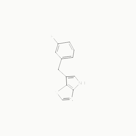 Fc1cccc(Cc2c[nH]c3ncsc23)c1